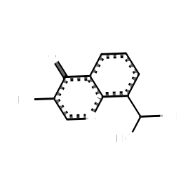 Cc1coc2c(C(C)O)cccc2c1=O